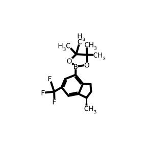 C[C@@H]1CCc2c(B3OC(C)(C)C(C)(C)O3)cc(C(F)(F)F)cc21